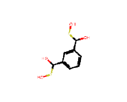 OSC(O)c1cccc(C(O)SO)c1